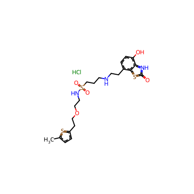 Cc1ccc(CCOCCNS(=O)(=O)CCCNCCc2ccc(O)c3[nH]c(=O)sc23)s1.Cl